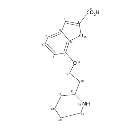 O=C(O)c1cc2cccc(OCCC3CCCCN3)c2o1